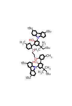 Cc1ccc(OCCCOc2ccc(C)cc2-c2cc(C(C)(C)CC(C)(C)C)cc(-n3c4ccc(C(C)(C)C)cc4c4cc(C(C)(C)C)ccc43)c2O)c(-c2cc(C(C)(C)CC(C)(C)C)cc(-n3c4ccc(C(C)(C)C)cc4c4cc(C(C)(C)C)ccc43)c2O)c1